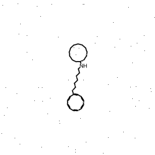 C1=C\C=C/C=C\C(CCCCCCCNC2CCCCCCCCCCCC2)=C/C=C\C=C/1